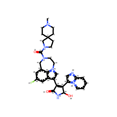 CN1CCC2(CC1)CCN(C(=O)N1CCn3cc(C4=C(c5cnc6ccccn56)C(O)NC4=O)c4cc(F)cc(c43)C1)C2